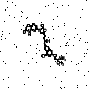 CC(N)COc1cc2c(c(Cl)n1)CC(CNCCC1CN(c3cnc4c(n3)NC(=O)CO4)C(=O)O1)C2